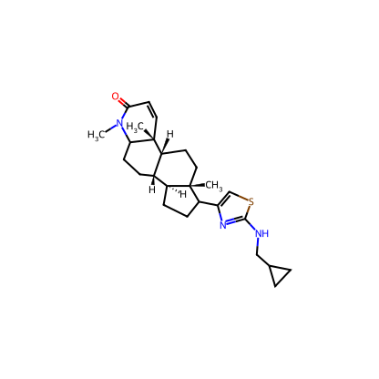 CN1C(=O)C=C[C@@]2(C)C1CC[C@@H]1[C@H]2CC[C@]2(C)C(c3csc(NCC4CC4)n3)CC[C@@H]12